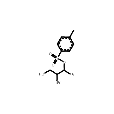 Cc1ccc(S(=O)(=O)OC(C(C)C)C(CO)C(C)C)cc1